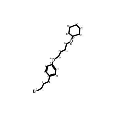 BrCCCc1ccc(OCCCCOC2CCCCC2)cc1